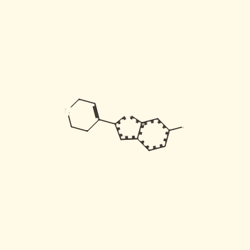 CCc1ccc2cc(C3=CCNCC3)sc2c1